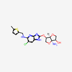 Cc1ccc(CNc2nc3nc(O[C@@H]4CO[C@]5(N)[C@H](O)CO[C@H]45)[nH]c3cc2Cl)s1